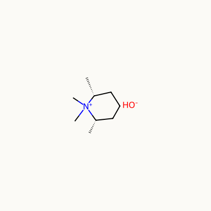 C[C@@H]1CCC[C@H](C)[N+]1(C)C.[OH-]